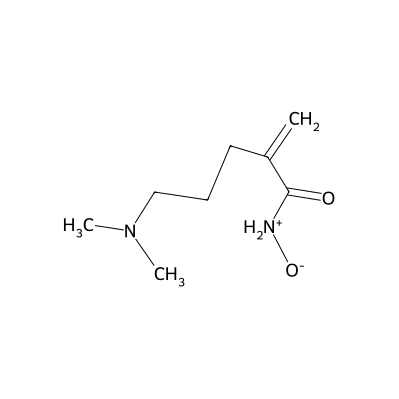 C=C(CCCN(C)C)C(=O)[NH2+][O-]